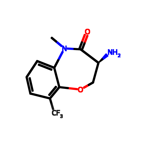 CN1C(=O)[C@@H](N)COc2c1cccc2C(F)(F)F